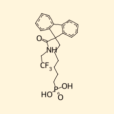 O=C(NCC(F)(F)F)C1(CCCCCCP(=O)(O)O)c2ccccc2-c2ccccc21